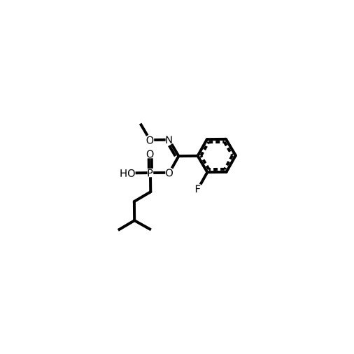 CO/N=C(\OP(=O)(O)CCC(C)C)c1ccccc1F